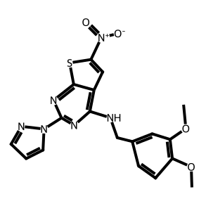 COc1ccc(CNc2nc(-n3cccn3)nc3sc([N+](=O)[O-])cc23)cc1OC